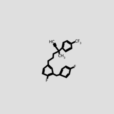 C#CC(C)(CCCc1ccc(F)c(Cc2ccc(F)cc2)c1)c1ccc(C(F)(F)F)cc1